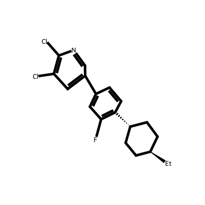 CC[C@H]1CC[C@H](c2ccc(-c3cnc(Cl)c(Cl)c3)cc2F)CC1